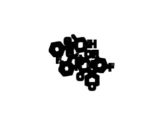 C[C@H]1CNC[C@H](CCc2c(F)cccc2NC(=O)[C@@H](N(C)C(=O)O)C2(c3cc(F)cc(F)c3)CCOCC2)N1S(=O)(=O)c1ccccc1